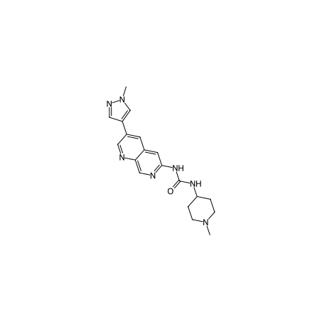 CN1CCC(NC(=O)Nc2cc3cc(-c4cnn(C)c4)cnc3cn2)CC1